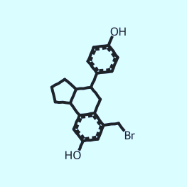 Oc1ccc(C2Cc3c(CBr)cc(O)cc3C3CCCC23)cc1